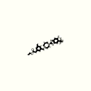 CCOC(=O)Cc1cc(C)cc(CN2CCCN(c3nc4cc(F)c(C(F)(F)F)cc4s3)CC2)c1